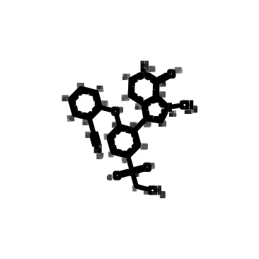 CCS(=O)(=O)c1ccc(Oc2ccccc2C#N)c(-c2cn(C)c3c(=O)[nH]ccc23)c1